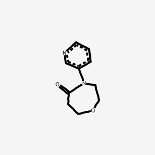 O=C1CCOCCN1c1cc[c]nc1